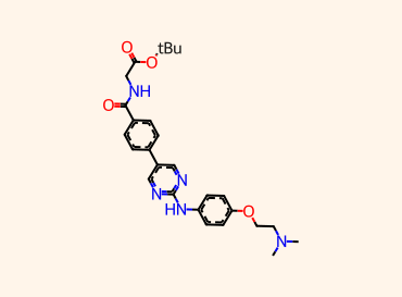 CN(C)CCOc1ccc(Nc2ncc(-c3ccc(C(=O)NCC(=O)OC(C)(C)C)cc3)cn2)cc1